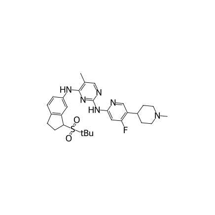 Cc1cnc(Nc2cc(F)c(C3CCN(C)CC3)cn2)nc1Nc1ccc2c(c1)C(S(=O)(=O)C(C)(C)C)CC2